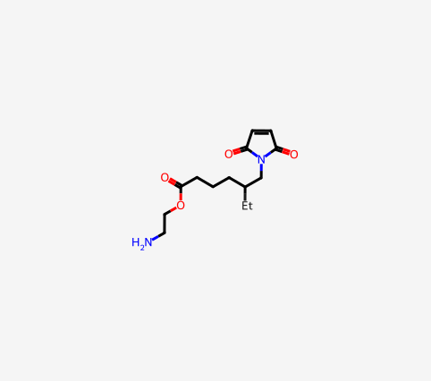 CCC(CCCC(=O)OCCN)CN1C(=O)C=CC1=O